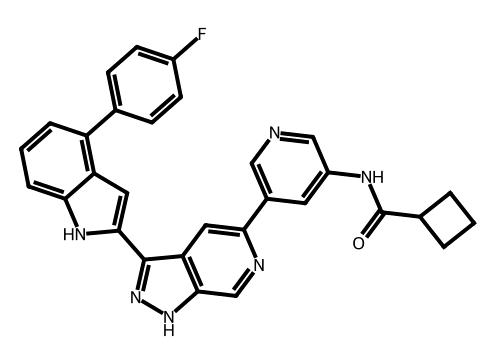 O=C(Nc1cncc(-c2cc3c(-c4cc5c(-c6ccc(F)cc6)cccc5[nH]4)n[nH]c3cn2)c1)C1CCC1